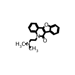 CN(C)CCn1c(=O)c2c3ccccc3oc2c2ccccc21